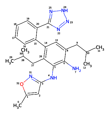 Cc1cc(Nc2c(N)c(CC(C)C)cc(-c3ccccc3-c3nn[nH]n3)c2CC(C)C)no1